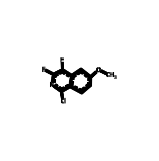 COc1ccc2c(Cl)nc(F)c(F)c2c1